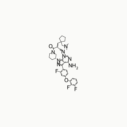 CN(C)CC1(/C=C(\C#N)C(=O)N2CCC[C@@H](n3nc(-c4ccc(Oc5cccc(F)c5F)cc4F)c4c(N)ncnc43)C2)CCCC1